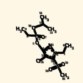 CCn1nc(OP(=O)(CC)OC(C)C)c(Cl)c1S(C)(=O)=O